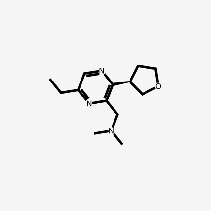 CCc1cnc([C@H]2CCOC2)c(CN(C)C)n1